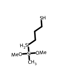 CO[Si](C)(OC)[SiH2]CCCS